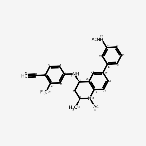 C#Cc1ccc(N[C@@H]2C[C@H](C)N(C(C)=O)c3ccc(-c4cccc(NC(C)=O)c4)cc32)cc1C(F)(F)F